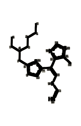 CCCCC(CC)Cc1ccc(/C(=C\SC=N)c2ncsc2C)s1